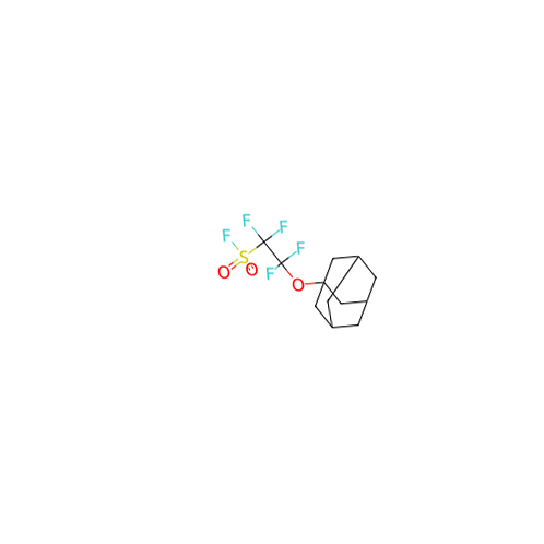 O=S(=O)(F)C(F)(F)C(F)(F)OC12CC3CC(CC(C3)C1)C2